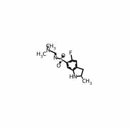 C[C@@H]1Cc2cc(F)c(S(=O)(=O)/N=C/N(C)C)cc2N1